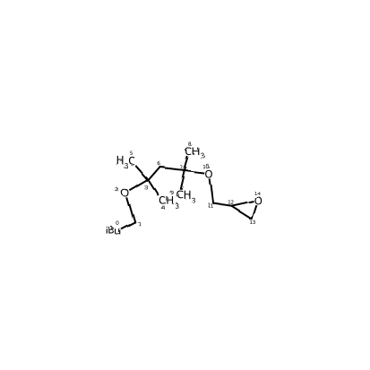 CCC(C)COC(C)(C)CC(C)(C)OCC1CO1